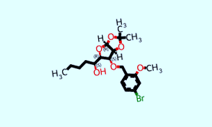 CCCC[C@H](O)[C@H]1O[C@@H]2OC(C)(C)O[C@@H]2[C@H]1OCc1ccc(Br)cc1OC